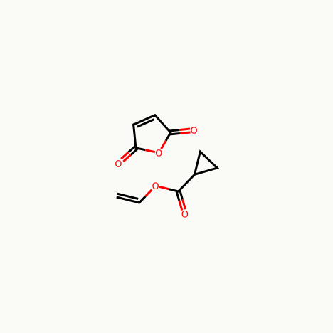 C=COC(=O)C1CC1.O=C1C=CC(=O)O1